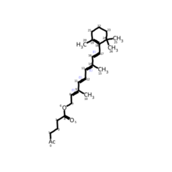 CC(=O)CCCC(=O)OC/C=C(C)/C=C/C=C(C)/C=C/C1=C(C)CCCC1(C)C